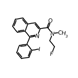 CN(CCF)C(=O)c1cc2ccccc2c(-c2ccccc2I)n1